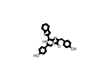 O=c1c(Cc2ccc(O)cc2)nc2c(-c3cc4ccccc4s3)[nH]c(-c3ccc(O)cc3)cn1-2